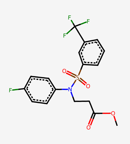 COC(=O)CCN(c1ccc(F)cc1)S(=O)(=O)c1cccc(C(F)(F)F)c1